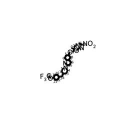 CC1(COc2ccc3nc(N4CCC(=Cc5ccc(OC(F)(F)F)cc5)CC4)ccc3c2)Cn2cc([N+](=O)[O-])nc2O1